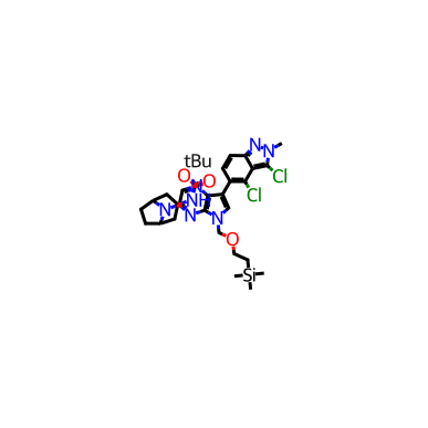 Cn1nc2ccc(-c3cn(COCC[Si](C)(C)C)c4nc(N5C6CCC5CC(NC(=O)OC(C)(C)C)C6)cnc34)c(Cl)c2c1Cl